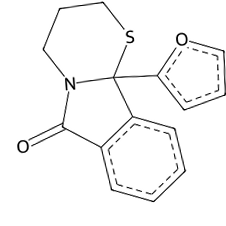 O=C1c2ccccc2C2(c3ccco3)SCCCN12